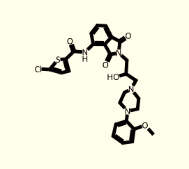 COc1ccccc1N1CCN(CC(O)CN2C(=O)c3cccc(NC(=O)c4ccc(Cl)s4)c3C2=O)CC1